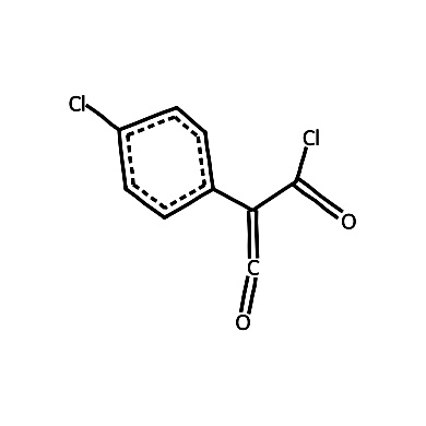 O=C=C(C(=O)Cl)c1ccc(Cl)cc1